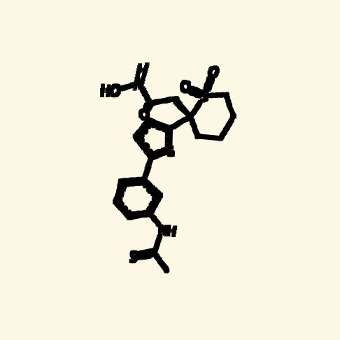 CC(=S)Nc1cccc(-c2ccc([C@@]3(CC(=O)NO)CCCCS3(=O)=O)s2)c1